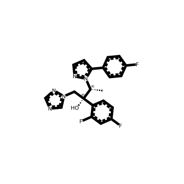 C[C@@H](n1nccc1-c1ccc(F)cc1)[C@](O)(Cn1cncn1)c1ccc(F)cc1F